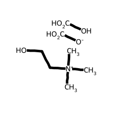 C[N+](C)(C)CCO.O=C(O)O.O=C([O-])O